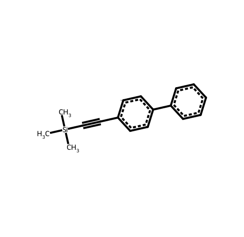 C[Si](C)(C)C#Cc1[c]cc(-c2ccccc2)cc1